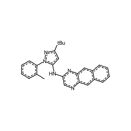 Cc1ccccc1-n1nc(C(C)(C)C)cc1Nc1cnc2cc3ccccc3cc2n1